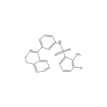 Cc1c(Cl)cccc1S(=O)(=O)Nc1cccc(C2=NCCc3ccccc32)c1